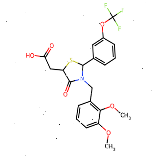 COc1cccc(CN2C(=O)C(CC(=O)O)SC2c2cccc(OC(F)(F)F)c2)c1OC